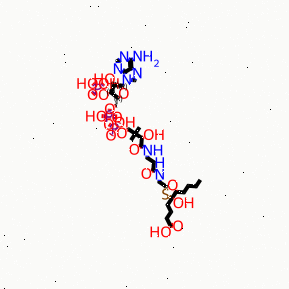 CCCCC(=O)C(O)(CCCC(=O)O)SCCNC(=O)CCNC(=O)C(O)C(C)(C)COP(=O)(O)OP(=O)(O)OC[C@H]1O[C@@H](n2cnc3c(N)ncnc32)[C@H](O)[C@@H]1OP(=O)(O)O